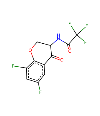 O=C1c2cc(F)cc(F)c2OCC1NC(=O)C(F)(F)F